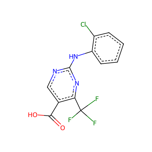 O=C(O)c1cnc(Nc2ccccc2Cl)nc1C(F)(F)F